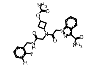 NC(=O)O[C@H]1C[C@@H](N(CC(=O)NCc2cccc(Cl)c2F)C(=O)Cn2nc(C(N)=O)c3ccccc32)C1